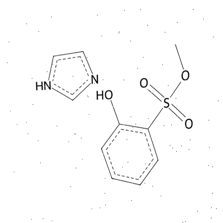 COS(=O)(=O)c1ccccc1O.c1c[nH]cn1